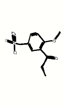 CCC(=O)c1cc(S(=O)(=O)Cl)ccc1OC